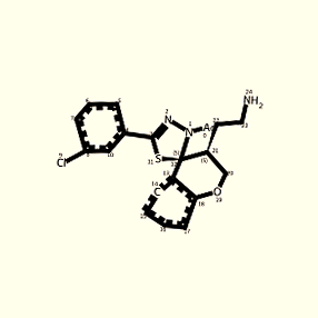 CC(=O)N1N=C(c2cccc(Cl)c2)S[C@@]12c1ccccc1OC[C@@H]2CCN